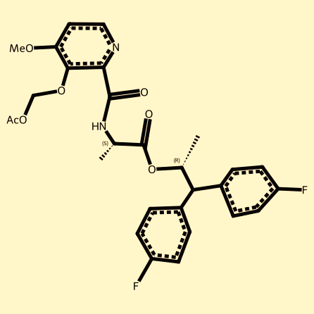 COc1ccnc(C(=O)N[C@@H](C)C(=O)O[C@H](C)C(c2ccc(F)cc2)c2ccc(F)cc2)c1OCOC(C)=O